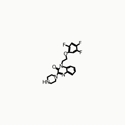 O=c1c(N2CCNCC2)nc2ccccc2n1CCOc1cc(F)c(F)cc1F